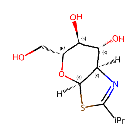 CC(C)C1=N[C@@H]2[C@@H](O)[C@H](O)[C@@H](CO)O[C@@H]2S1